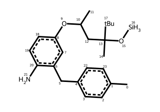 Cc1ccc(Cc2cc(OC(C)CC(C)(O[SiH3])C(C)(C)C)ccc2N)cc1